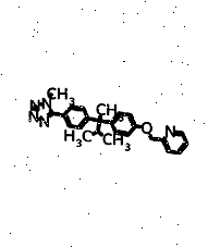 CC(C)C(C)(c1ccc(OCc2ccccn2)cc1)c1ccc(-c2nnnn2C)cc1